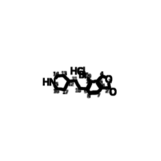 Cl.O=C1OCc2c1ccc(CCC1CCNCC1)c2Br